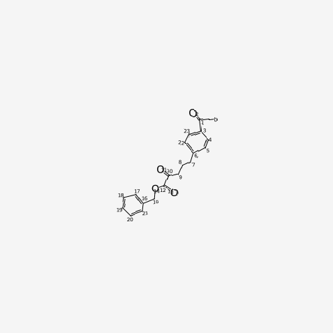 CC(=O)c1ccc(CCCC(=O)C(=O)OCc2ccccc2)cc1